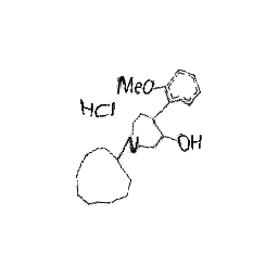 COc1ccccc1C1CCN(C2CCCCCCCC2)CC1O.Cl